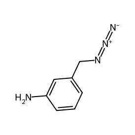 [N-]=[N+]=NCc1cccc(N)c1